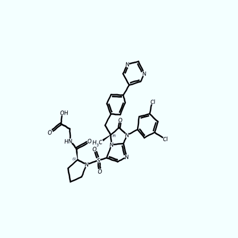 C[C@@]1(Cc2ccc(-c3cncnc3)cc2)C(=O)N(c2cc(Cl)cc(Cl)c2)c2ncc(S(=O)(=O)N3CCC[C@H]3C(=O)NCC(=O)O)n21